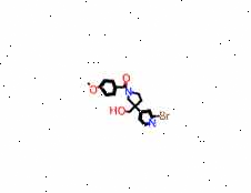 COc1ccc(C(=O)N2CCC(CO)(c3ccnc(Br)c3)C2)cc1